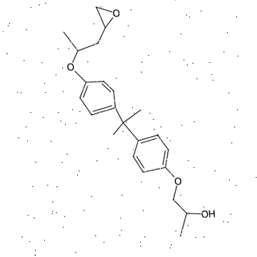 CC(O)COc1ccc(C(C)(C)c2ccc(OC(C)CC3CO3)cc2)cc1